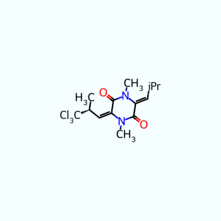 CC(C)/C=c1/c(=O)n(C)/c(=C/[C@H](C)C(Cl)(Cl)Cl)c(=O)n1C